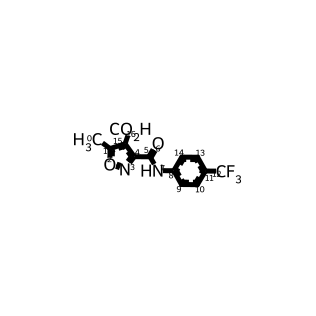 Cc1onc(C(=O)Nc2ccc(C(F)(F)F)cc2)c1C(=O)O